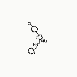 Cl.Cl.Clc1ccc(-c2ccc(CNCc3ccccn3)o2)cc1